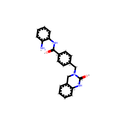 Nc1ccccc1NC(=O)c1ccc(CN2Cc3ccccc3NC2=O)cc1